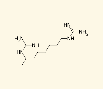 CC(CCCCCCNC(=N)N)NC(=N)N